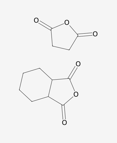 O=C1CCC(=O)O1.O=C1OC(=O)C2CCCCC12